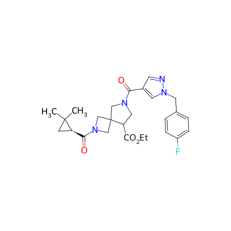 CCOC(=O)C1CN(C(=O)c2cnn(Cc3ccc(F)cc3)c2)CC12CN(C(=O)[C@H]1CC1(C)C)C2